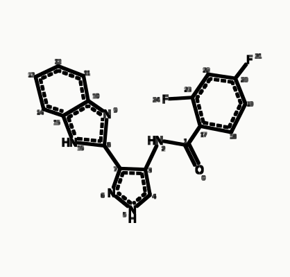 O=C(Nc1c[nH]nc1-c1nc2ccccc2[nH]1)c1ccc(F)cc1F